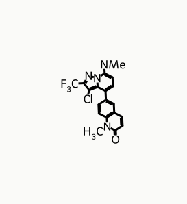 CNc1ccc(-c2ccc3c(ccc(=O)n3C)c2)c2c(Cl)c(C(F)(F)F)nn12